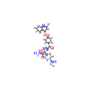 CCNC1CCN([C@](O)(CNC(=O)c2ccc(OCc3cc(C)nc4ccccc34)cc2)C(N)=O)CC1